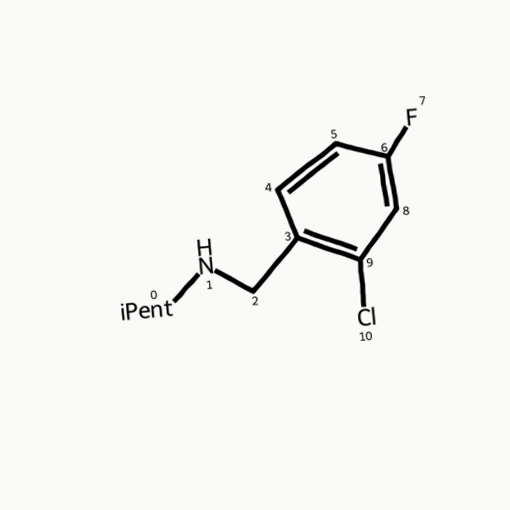 CCCC(C)NCc1ccc(F)cc1Cl